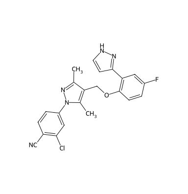 Cc1nn(-c2ccc(C#N)c(Cl)c2)c(C)c1COc1ccc(F)cc1-c1cc[nH]n1